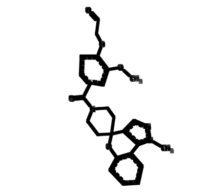 COc1cc(C(=O)N2CCC3(CC2)Oc2ccccc2-c2c3cnn2C)ccc1OCC=O